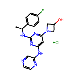 C[C@H](Nc1nc(Nc2cnccn2)cc(N2CC(O)C2)n1)c1ccc(F)cc1.Cl